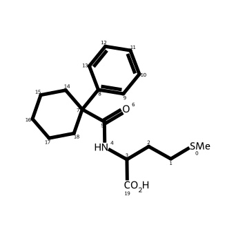 CSCCC(NC(=O)C1(c2ccccc2)CCCCC1)C(=O)O